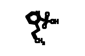 C=CCc1cccnc1S(=O)(=O)O